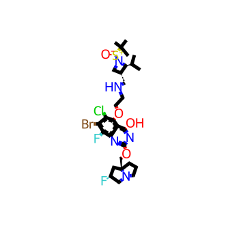 CC(C)[C@@H]1[C@H](CNCCOc2c(Cl)c(Br)c(F)c3nc(OC[C@@]45CCCN4C[C@H](F)C5)nc(O)c23)CN1[S@+]([O-])C(C)(C)C